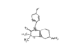 CC1(C)Oc2cc(N)ccc2N(c2ccc(F)cn2)C1=O